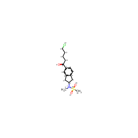 CN(C1Cc2ccc(C(=O)CCCCCl)cc2C1)S(C)(=O)=O